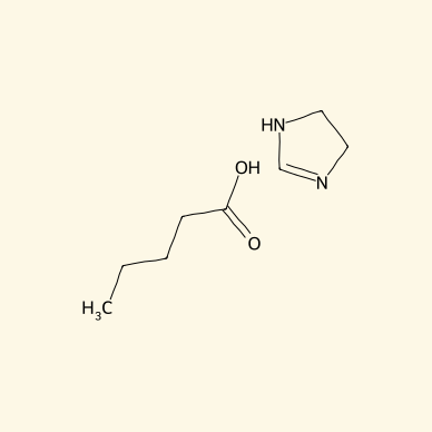 C1=NCCN1.CCCCC(=O)O